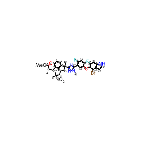 COC(=O)[C@@H](C)Cc1cccc(C(C)(CCCC(C)(C)[N+](=O)[O-])c2nc(-c3cc(Oc4c(F)cc5[nH]ccc5c4Br)ccc3F)n(C)n2)c1